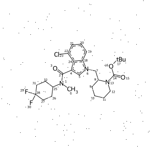 CN(C(=O)c1cn(CC2CCCCN2C(=O)OC(C)(C)C)c2cccc(Cl)c12)C1CCC(F)(F)CC1